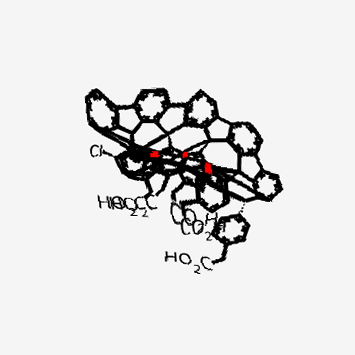 O=C(O)Cc1ccc([C@]23C4=C5[C@]6(c7ccc(CC(=O)O)cc7)c7c8ccc(c72)-c2ccc7c(c23)[C@]2(c3ccc(CC(=O)O)cc3)C4=C3[C@@]4(c9ccc(CC(=O)O)cc9)c9c(ccc-7c92)-c2ccc7c(c24)[C@@](c2ccc(CC(=O)O)cc2)(c2c-7ccc-8c26)[C@@]53Cl)cc1